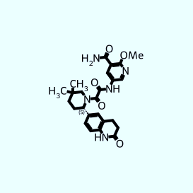 COc1ncc(NC(=O)C(=O)N2CC(C)(C)CC[C@H]2c2ccc3c(c2)CCC(=O)N3)cc1C(N)=O